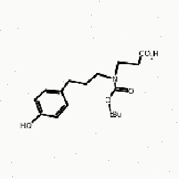 CC(C)(C)OC(=O)N(CCCc1ccc(O)cc1)CCC(=O)O